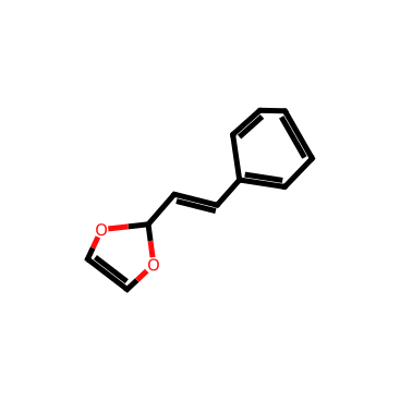 C1=COC(C=Cc2ccccc2)O1